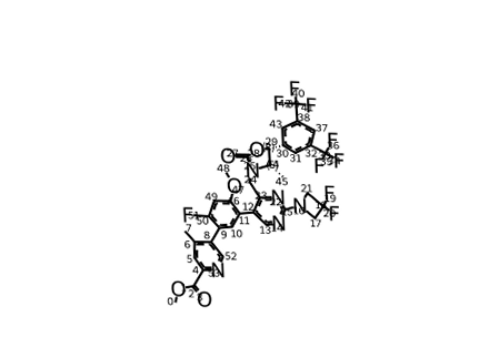 COC(=O)c1cc(C)c(-c2cc(-c3cnc(N4CC(F)(F)C4)nc3CN3C(=O)O[C@H](c4cc(C(F)(F)F)cc(C(F)(F)F)c4)[C@@H]3C)c(OC)cc2F)cn1